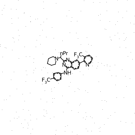 CCCC(c1nc(Nc2ccc(C(F)(F)F)cc2)c2ccc(-c3ncccc3C(F)(F)F)cc2n1)N1CCCCC1